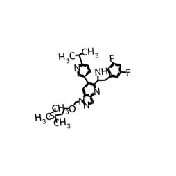 CC(C)c1ccc(-c2cc3c(cnn3COCC[Si](C)(C)C)nc2C(N)Cc2cc(F)cc(F)c2)cn1